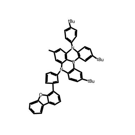 Cc1cc2c3c(c1)N(c1cccc(-c4cccc5c4oc4ccccc45)c1)c1ccc(C(C)(C)C)cc1B3c1cc(C(C)(C)C)ccc1N2c1ccc(C(C)(C)C)cc1